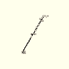 CCCCOC(=O)CCCCCCCCCCCCCCCCC(=O)NCCCOCCOCCOCCCNC(=O)COCC(=O)O